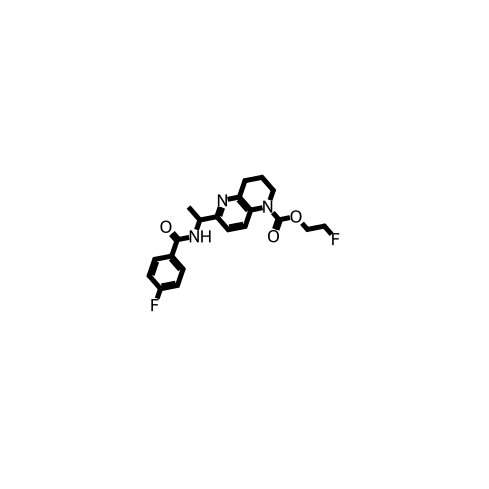 CC(NC(=O)c1ccc(F)cc1)c1ccc2c(n1)CCCN2C(=O)OCCF